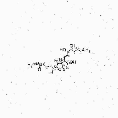 CCCCC(C)[C@@H](O)/C=C/[C@@H]1[C@H]2C(F)C(C(I)CCCC(=O)OC)O[C@H]2C[C@H]1O